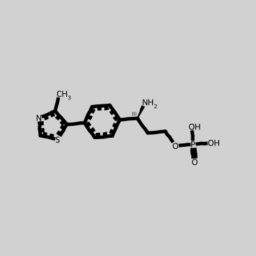 Cc1ncsc1-c1ccc([C@@H](N)CCOP(=O)(O)O)cc1